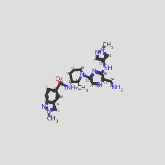 C[C@@H]1[C@H](NC(=O)c2ccc3nn(C)cc3c2)CCCN1c1cnc(CN)c(Nc2cnn(C)c2)n1